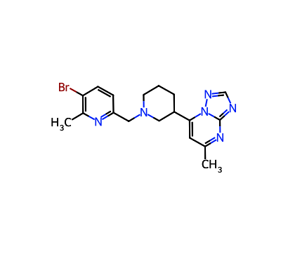 Cc1cc(C2CCCN(Cc3ccc(Br)c(C)n3)C2)n2ncnc2n1